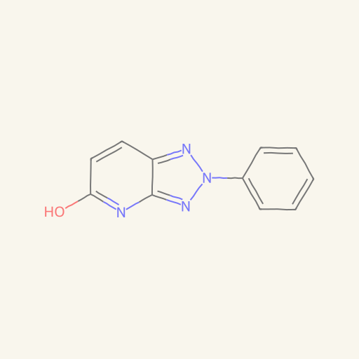 Oc1ccc2nn(-c3ccccc3)nc2n1